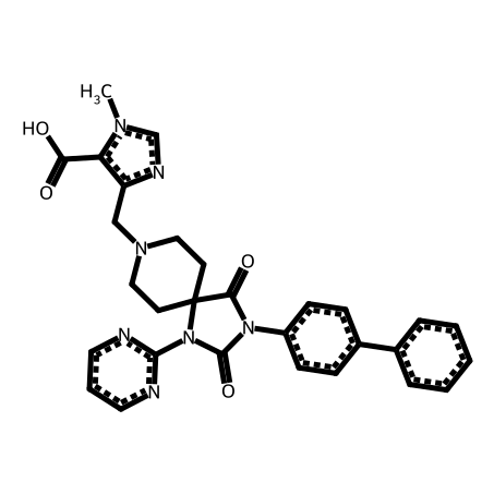 Cn1cnc(CN2CCC3(CC2)C(=O)N(c2ccc(-c4ccccc4)cc2)C(=O)N3c2ncccn2)c1C(=O)O